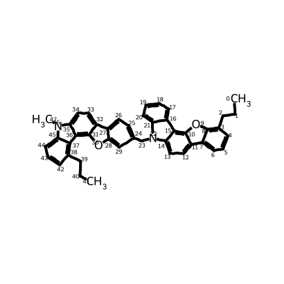 CCCc1cccc2c1oc1c2ccc2c1c1ccccc1n2Cc1ccc2c(c1)oc1c2ccc2c1c1c(CCC)cccc1n2C